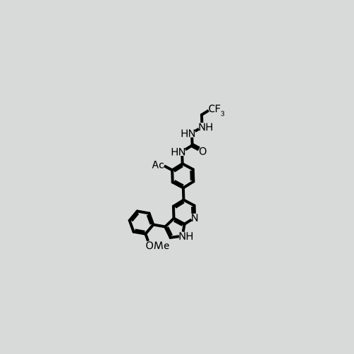 COc1ccccc1-c1c[nH]c2ncc(-c3ccc(NC(=O)NNCC(F)(F)F)c(C(C)=O)c3)cc12